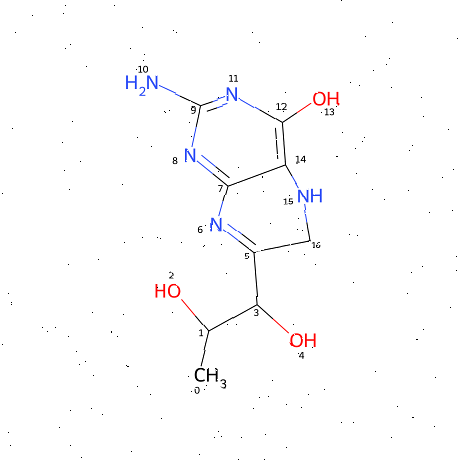 CC(O)C(O)C1=Nc2nc(N)nc(O)c2NC1